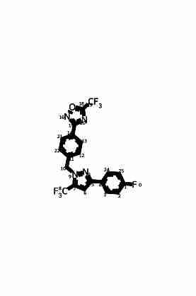 Fc1ccc(-c2cc(C(F)(F)F)n(Cc3ccc(-c4noc(C(F)(F)F)n4)cc3)n2)cc1